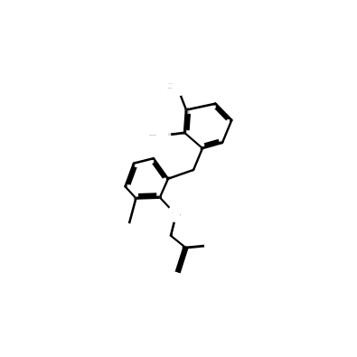 C=C(C)COc1c(C)cccc1Cc1cccc(CC)c1O